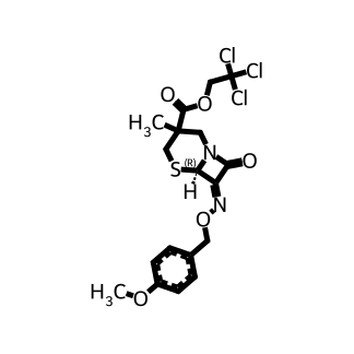 COc1ccc(CON=C2C(=O)N3CC(C)(C(=O)OCC(Cl)(Cl)Cl)CS[C@H]23)cc1